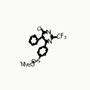 COOSc1ccc(-c2nc(C(F)(F)F)nc(Cl)c2-c2ccccc2)cc1